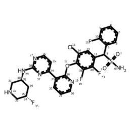 NS(=O)(=O)C(c1ccccc1F)c1cc(Cl)c(Oc2ncccc2-c2ccnc(N[C@@H]3CNC[C@@H](F)C3)n2)c(F)c1F